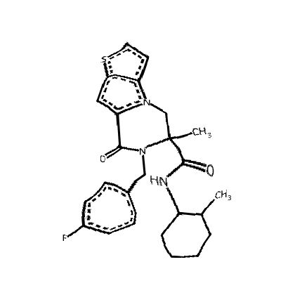 CC1CCCCC1NC(=O)C1(C)Cn2c(cc3sccc32)C(=O)N1Cc1ccc(F)cc1